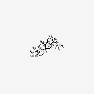 C=C(C)[C@@H]1CC[C@]2(N)CC[C@]3(C)[C@H](CC[C@@H]4[C@@]5(C)CC[C@H](OC(C)=O)C(C)(C)[C@@H]5CC[C@]43C)[C@@H]12